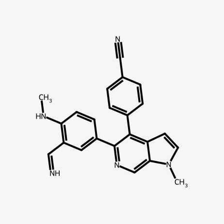 CNc1ccc(-c2ncc3c(ccn3C)c2-c2ccc(C#N)cc2)cc1C=N